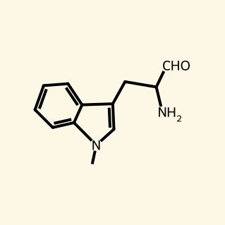 Cn1cc(CC(N)C=O)c2ccccc21